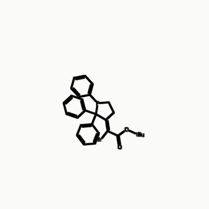 CC(C)(C)OC(=O)C(Br)=C1CCP(c2ccccc2)C1(c1ccccc1)c1ccccc1